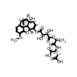 COc1ccc2c3c1O[C@@H]1C(OC(=O)[C@H](O)[C@@H](O)C(=O)O[C@@H](C)C(=O)N[C@H](CC(=O)O)C(=O)O)=CC[C@]4(O)[C@@H](CCC[C@@]314)C2